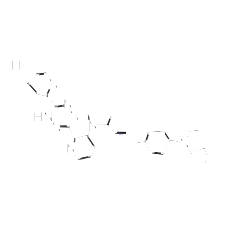 CN(C(=O)/C=C/Oc1ccc(N(CCCl)CCCl)cc1)c1cccnc1C1=NNC(c2ccc(O)cn2)=NN1